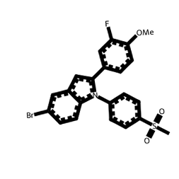 COc1ccc(-c2cc3cc(Br)ccc3n2-c2ccc(S(C)(=O)=O)cc2)cc1F